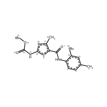 Cc1ccc(NC(=O)c2sc(NC(=O)OC(C)(C)C)nc2C)c(C(C)(C)C)c1